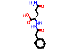 NC(=O)CC[C@H](NNC(=O)Cc1ccccc1)C(=O)O